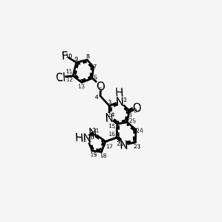 O=c1[nH]c(COc2ccc(F)c(Cl)c2)nc2c(-c3cc[nH]n3)nccc12